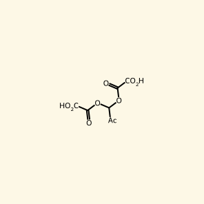 CC(=O)C(OC(=O)C(=O)O)OC(=O)C(=O)O